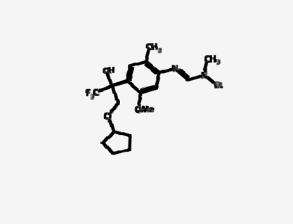 CCN(C)/C=N/c1cc(OC)c(C(O)(COC2CCCC2)C(F)(F)F)cc1C